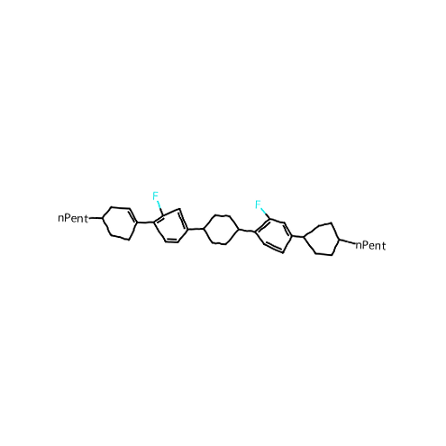 CCCCCC1CC=C(c2ccc(C3CCC(c4ccc(C5CCC(CCCCC)CC5)cc4F)CC3)cc2F)CC1